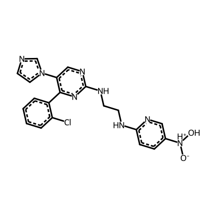 [O-][NH+](O)c1ccc(NCCNc2ncc(-n3ccnc3)c(-c3ccccc3Cl)n2)nc1